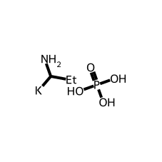 CC[CH](N)[K].O=P(O)(O)O